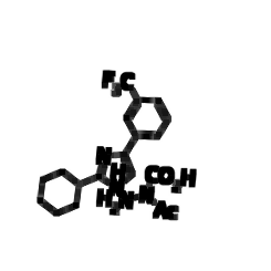 CC(=O)N(N)C(=O)O.FC(F)(F)c1cccc(-c2c[nH]c(C3CCCCC3)n2)c1